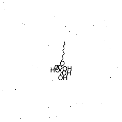 CCCCCCCCCO[C@@H](C=O)[C@@H](O)[C@H](O)[C@H](O)CO